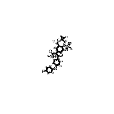 CNC(=O)c1c(-c2ccc(Oc3ccc(F)cc3)cc2)oc2cc3c(cc12)[C@H](C)OC1(CC1)CN3S(C)(=O)=O